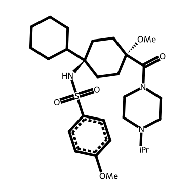 COc1ccc(S(=O)(=O)N[C@]2(C3CCCCC3)CC[C@](OC)(C(=O)N3CCN(C(C)C)CC3)CC2)cc1